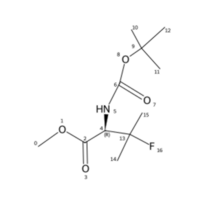 COC(=O)[C@@H](NC(=O)OC(C)(C)C)C(C)(C)F